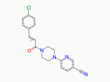 N#Cc1ccc(N2CCN(C(=O)/C=C/c3ccc(Cl)cc3)CC2)nc1